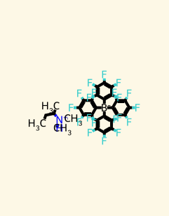 CCC(C)[NH+](C)C.Fc1c(F)c(F)c([B-](c2c(F)c(F)c(F)c(F)c2F)(c2c(F)c(F)c(F)c(F)c2F)c2c(F)c(F)c(F)c(F)c2F)c(F)c1F